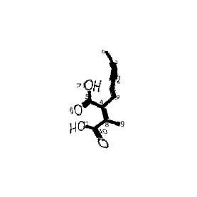 CC#CC/C(C(=O)O)=C(\C)C(=O)O